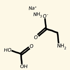 N.NCC(=O)[O-].O=C(O)O.[Na+]